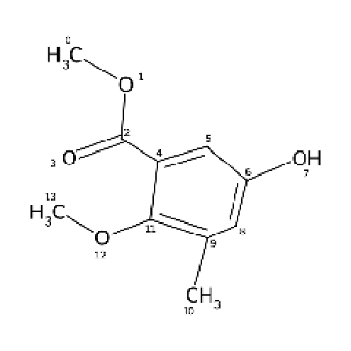 COC(=O)c1cc(O)cc(C)c1OC